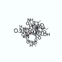 C=CC1CC12NC(=O)[C@H](C)NC(=O)[C@H](NC(=O)[C@H](CO)NC(=O)[C@@H](NC(=O)[C@H](NC(=O)[C@@H](CCC(N)=O)NC(=O)[C@H](CO)NC(=O)[C@@H](NC(=O)[C@@H](Cc1ccccc1)NC)[C@@H](C)CC)[C@@H](C)CC)[C@@H](C)CC)[C@H](C)OC(=O)[C@H]([C@@H](C)CC)NC2=O